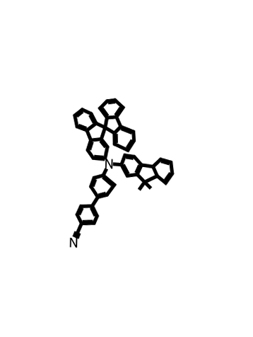 CC1(C)c2cc(N(c3ccc(-c4ccc(C#N)cc4)cc3)c3ccc4c(c3)C3(c5ccccc5-c5ccccc53)c3ccccc3-4)ccc2C2C=CC=CC21